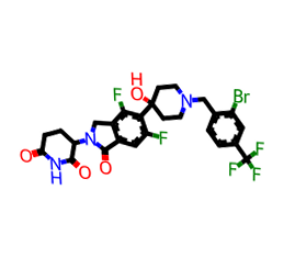 O=C1CCC(N2Cc3c(cc(F)c(C4(O)CCN(Cc5ccc(C(F)(F)F)cc5Br)CC4)c3F)C2=O)C(=O)N1